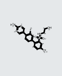 Nc1ncc(-c2ccc(-c3ccc(C(F)(F)F)cc3S(=O)(=O)NCCO)cc2F)cn1